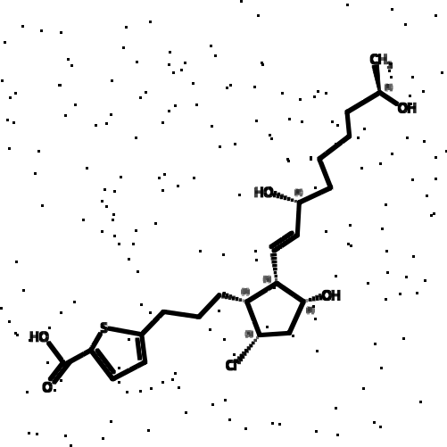 C[C@@H](O)CCCC[C@@H](O)C=C[C@H]1[C@@H](CCCc2ccc(C(=O)O)s2)[C@@H](Cl)C[C@H]1O